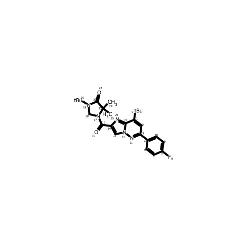 CC(C)(C)c1cc(-c2ccc(F)cc2)nn2cc(C(=O)N3CN(C(C)(C)C)C(=O)C3(C)C)nc12